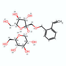 C=Cc1ccccc1COC[C@@]1(O[C@H]2O[C@H](CO)[C@@H](O)[C@H](O)[C@H]2O)O[C@H](CO)[C@@H](O)[C@@H]1O